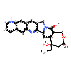 CCC1(O)CC(=O)OCc2c1cc1n(c2=O)Cc2cc3cc4ncccc4cc3nc2-1